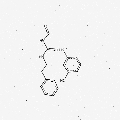 O=CNC(=O)NCCc1ccccc1.Oc1cccc(O)c1